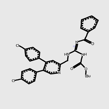 CC(C)(C)OC(=O)N/C(=N\C(=O)c1ccccc1)NCc1cc(-c2ccc(Cl)cc2)c(-c2ccc(Cl)cc2)cn1